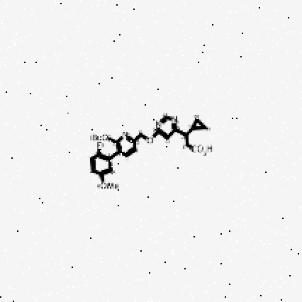 COc1ccc(F)c(-c2ccc(COc3cc(C(CC(=O)O)C4CC4)ncn3)nc2OCC(C)C)c1